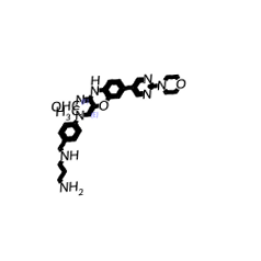 CN(/C=C1/Oc2cc(-c3cnc(N4CCOCC4)nc3)ccc2N/C1=N/C=O)c1ccc(CNCCCN)cc1